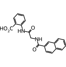 O=C(CNC(=O)c1ccc2ccccc2c1)Nc1ccccc1C(=O)O